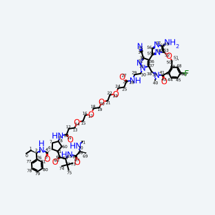 CC[C@@H](NC(=O)[C@@H]1CC(NC(=O)CCOCCOCCOCCOCCC(=O)NCCn2nc(C#N)c3c2CN(C)C(=O)c2ccc(F)cc2[C@@H](C)Oc2nc-3cnc2N)CC1C(=O)[C@@H](NC(=O)[C@H](C)NC)C(C)(C)C)c1ccccc1